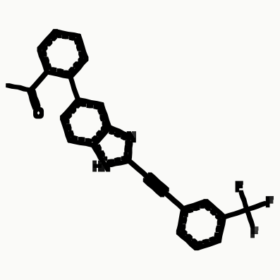 CC(=O)c1ccccc1-c1ccc2[nH]c(C#Cc3cccc(C(F)(F)F)c3)nc2c1